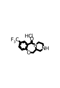 Cl.O=C1c2cc(C(F)(F)F)ccc2OCC2CNCCN12